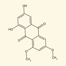 COc1cc(OC)c2c(c1)C(=O)c1cc(O)cc(O)c1C2=O